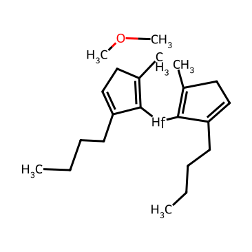 CCCCC1=CCC(C)=[C]1[Hf][C]1=C(C)CC=C1CCCC.COC